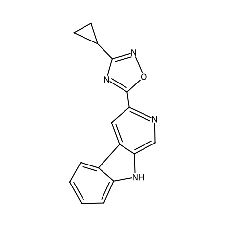 c1ccc2c(c1)[nH]c1cnc(-c3nc(C4CC4)no3)cc12